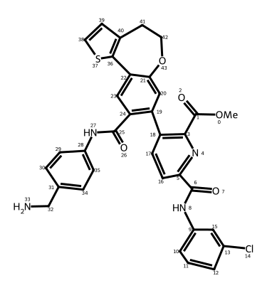 COC(=O)c1nc(C(=O)Nc2cccc(Cl)c2)ccc1-c1cc2c(cc1C(=O)Nc1ccc(CN)cc1)-c1sccc1CCO2